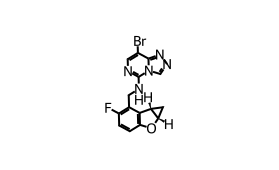 Fc1ccc2c(c1CNc1ncc(Br)c3nncn13)[C@@H]1C[C@@H]1O2